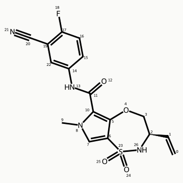 C=C[C@@H]1COc2c(cn(C)c2C(=O)Nc2ccc(F)c(C#N)c2)S(=O)(=O)N1